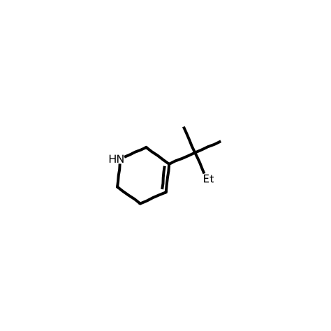 CCC(C)(C)C1=CCCNC1